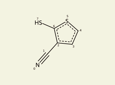 N#Cc1ccsc1S